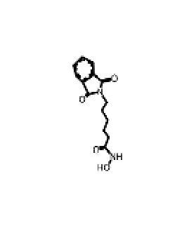 O=C(CCCCCN1C(=O)c2ccccc2C1=O)NO